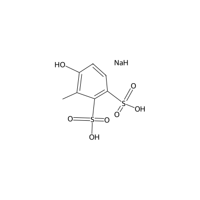 Cc1c(O)ccc(S(=O)(=O)O)c1S(=O)(=O)O.[NaH]